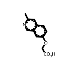 Cc1cc2ccc(OCC(=O)O)cc2cn1